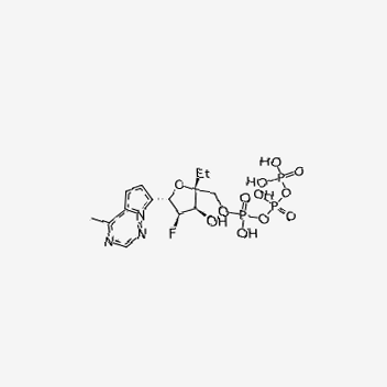 CC[C@]1(COP(=O)(O)OP(=O)(O)OP(=O)(O)O)O[C@@H](c2ccc3c(C)ncnn23)[C@H](F)[C@@H]1O